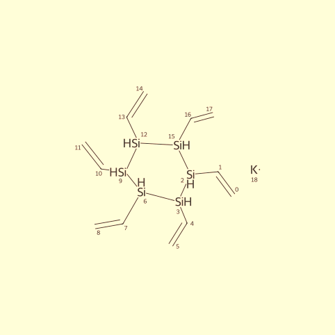 C=C[SiH]1[SiH](C=C)[SiH](C=C)[SiH](C=C)[SiH](C=C)[SiH]1C=C.[K]